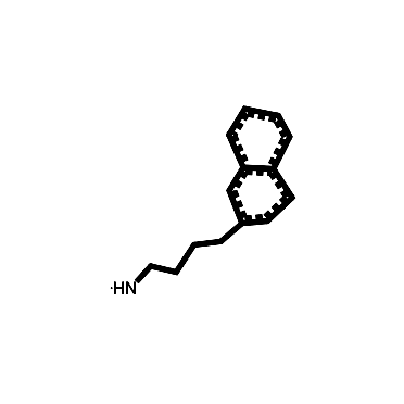 [NH]CCCCc1ccc2ccccc2c1